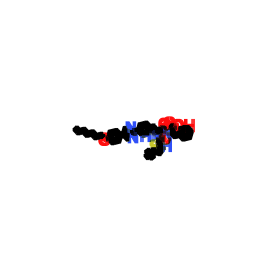 CCCCCCCOc1ccc(-c2cnc(-c3ccc(C[C@H](NC(=O)c4ccc(C(C)(C)C)s4)C(=O)NC(Cc4ccccc4)C(=O)O)cc3)nc2)cc1